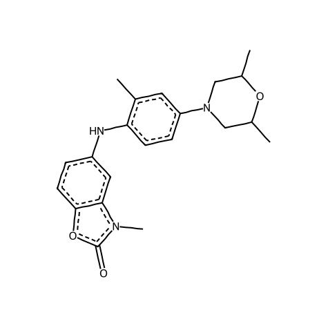 Cc1cc(N2CC(C)OC(C)C2)ccc1Nc1ccc2oc(=O)n(C)c2c1